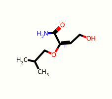 CC(C)CO/C(=C/CO)C(N)=O